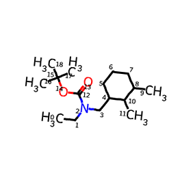 CCN(CC1CCCC(C)C1C)C(=O)OC(C)(C)C